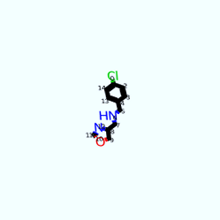 Clc1ccc(CNCC2CO[C]=N2)cc1